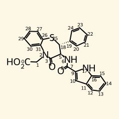 O=C(O)CN1C(=O)[C@H](NC(=O)c2cc3ccccc3[nH]2)[C@@H](c2ccccc2)Sc2ccccc21